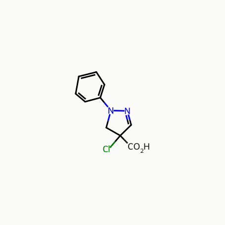 O=C(O)C1(Cl)C=NN(c2ccccc2)C1